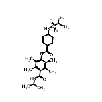 Cc1c(C)c(C(=O)NC(C)C)c(C)c(C)c1NC(=O)C1CCC(NS(=O)(=O)C(C)C)CC1